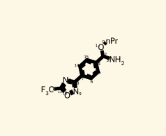 CCCOC(N)c1ccc(-c2noc(C(F)(F)F)n2)cc1